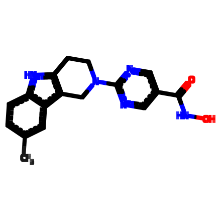 O=C(NO)c1cnc(N2CCc3[nH]c4ccc(C(F)(F)F)cc4c3C2)nc1